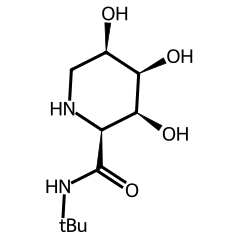 CC(C)(C)NC(=O)[C@H]1NC[C@@H](O)[C@@H](O)[C@H]1O